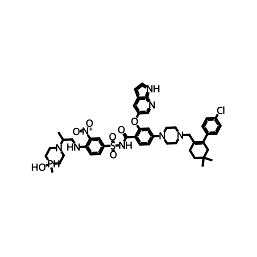 CC(CNc1ccc(S(=O)(=O)NC(=O)c2ccc(N3CCN(CC4=C(c5ccc(Cl)cc5)CC(C)(C)CC4)CC3)cc2Oc2cnc3[nH]ccc3c2)cc1[N+](=O)[O-])N1CC[PH](C)(O)CC1